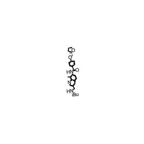 CCC(C)NCc1cnc2c(C)c(NC(=O)c3ccc(OC[C@@H]4CCCO4)cc3)ccc2c1